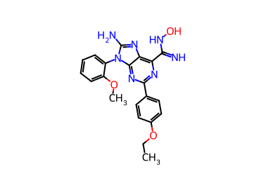 CCOc1ccc(-c2nc(C(=N)NO)c3nc(N)n(-c4ccccc4OC)c3n2)cc1